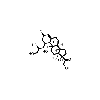 C[C@]12C[C@H](O)[C@H]3[C@@H](CCC4=CC(=O)CC(CC(O)CO)[C@@]43C)[C@@H]1CC[C@]2(O)C(=O)CO